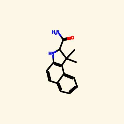 CC1(C)c2c(ccc3ccccc23)NC1C(N)=O